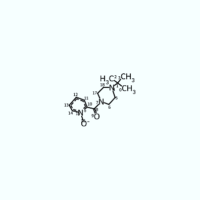 CC(C)(C)N1CCN(C(=O)c2cccc[n+]2[O-])CC1